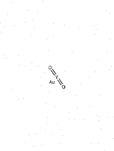 [Au].[O]=[V]=[O]